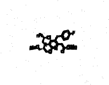 CCCC(Cl)CN1c2cc(Cc3ccc(F)cc3)c(CC(=O)OC)nc2OC[C@@H]1COC